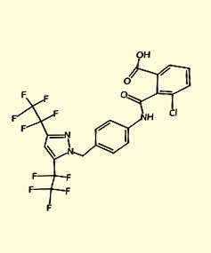 O=C(O)c1cccc(Cl)c1C(=O)Nc1ccc(Cn2nc(C(F)(F)C(F)(F)F)cc2C(F)(F)C(F)(F)F)cc1